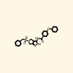 O=C(Nc1[nH]nc2c1CN(S(=O)(=O)Cc1ccccc1)C2)c1ccc(Oc2ccccc2)cc1